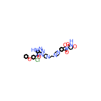 O=C1CCC(N2C(=O)c3ccc(N4CCN(CCCN5CCC(Nc6ncnc7[nH]cc(C(=O)c8ccc(Oc9ccccc9)cc8Cl)c67)CC5)CC4)cc3C2=O)C(=O)N1